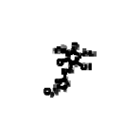 CCCCn1c(O)c(N=Nc2ncc([N+](=O)[O-])s2)c(=O)n(CCCC)c1=O